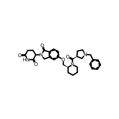 O=C1CCC(N2Cc3cc(OC[C@@H]4CCCCN4C(=O)[C@H]4CCN(Cc5ccccc5)C4)ccc3C2=O)C(=O)N1